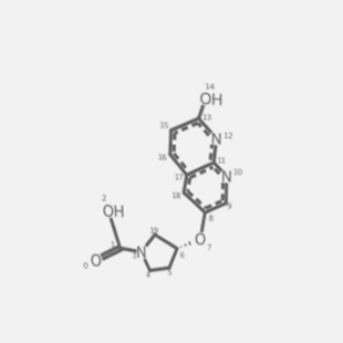 O=C(O)N1CC[C@@H](Oc2cnc3nc(O)ccc3c2)C1